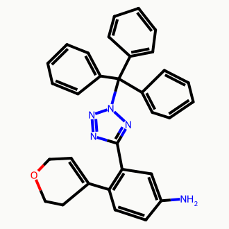 Nc1ccc(C2=CCOCC2)c(-c2nnn(C(c3ccccc3)(c3ccccc3)c3ccccc3)n2)c1